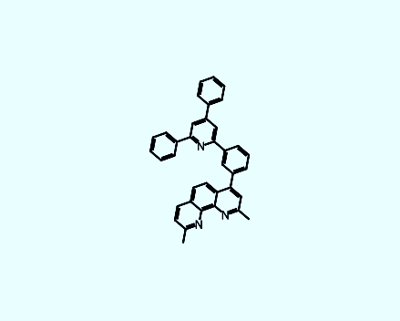 Cc1ccc2ccc3c(-c4cccc(-c5cc(-c6ccccc6)cc(-c6ccccc6)n5)c4)cc(C)nc3c2n1